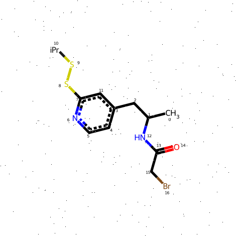 CC(Cc1ccnc(SSC(C)C)c1)NC(=O)CBr